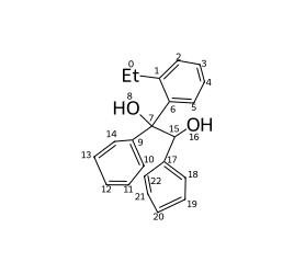 CCc1ccccc1C(O)(c1ccccc1)C(O)c1ccccc1